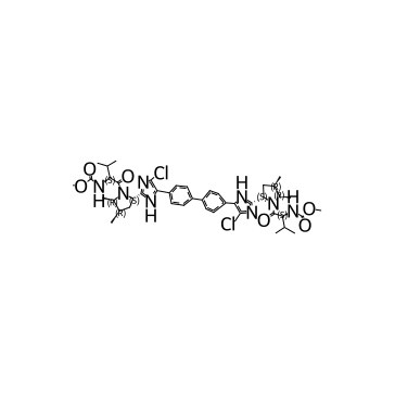 COC(=O)N[C@H](C(=O)N1[C@H](C)[C@H](C)C[C@H]1c1nc(Cl)c(-c2ccc(-c3ccc(-c4[nH]c([C@@H]5C[C@@H](C)[C@@H](C)N5C(=O)[C@@H](NC(=O)OC)C(C)C)nc4Cl)cc3)cc2)[nH]1)C(C)C